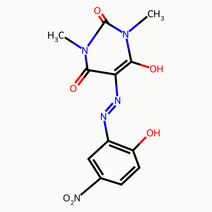 Cn1c(O)c(N=Nc2cc([N+](=O)[O-])ccc2O)c(=O)n(C)c1=O